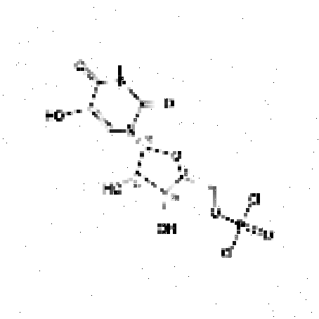 O=c1[nH]c(=O)n([C@@H]2O[C@H](COP(=O)(Cl)Cl)[C@H](O)[C@@H]2O)cc1O